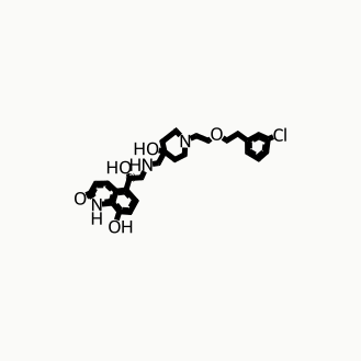 O=c1ccc2c([C@@H](O)CNCC3(O)CCN(CCOCCc4cccc(Cl)c4)CC3)ccc(O)c2[nH]1